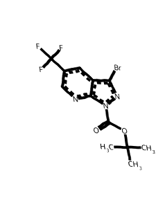 CC(C)(C)OC(=O)n1nc(Br)c2cc(C(F)(F)F)cnc21